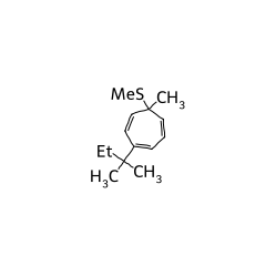 CCC(C)(C)C1=CC=CC(C)(SC)C=C1